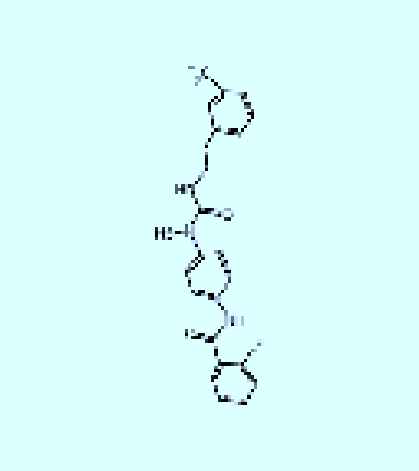 O=C(Nc1ccc(N(S)C(=O)NCCc2cccc(C(F)(F)F)c2)cc1)c1ccccc1F